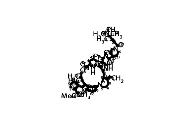 C=CC1CCCN2C[C@@H]1C[C@H](NNC(=O)[C@H](C(C)C)N(C)C(=O)C1(F)CCN(C(=O)C#CC(C)(C)N(C)C)CC1)C(=O)N1CCC[C@H](N1)C(=O)OCC(C)(C)Cc1c(-c3cccnc3[C@H](C)OC)n(CC)c3ccc2cc13